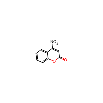 O=c1cc([N+](=O)[O-])c2ccccc2o1